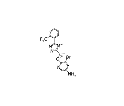 C[C@H](Oc1ncc(N)cc1Br)c1nnc(-c2ccccc2C(F)(F)F)n1C